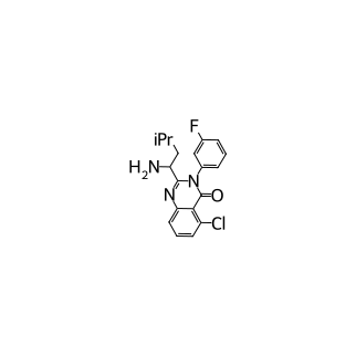 CC(C)CC(N)c1nc2cccc(Cl)c2c(=O)n1-c1cccc(F)c1